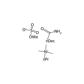 CCCCCCCCCCC(N)=O.CCC[N+](C)(C)C.COS(=O)(=O)[O-]